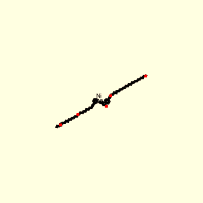 CCCCCCCCCCCCCCCCCCCCCCCCCC#Cc1cccc(N=CC(CCCC)=Nc2cccc(C#CCCCCCCCCCCCCCCCCCCCCCCCCC)c2)c1.[Ni]